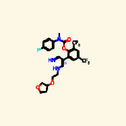 CN(C(=O)Oc1c(/C(C=N)=C/NCCOC2CCOC2)cc(C(F)(F)F)cc1C(F)(F)F)c1ccc(F)cc1